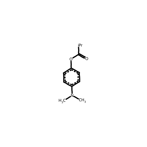 CC(C)C(=O)Oc1ccc(N(C)C)cc1